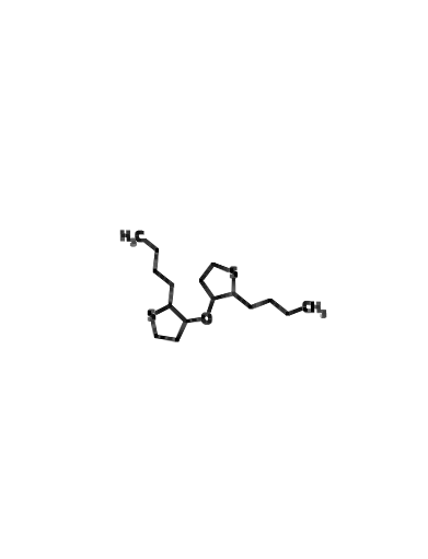 CCCCC1SCCC1OC1CCSC1CCCC